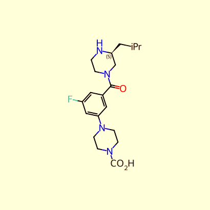 CC(C)C[C@H]1CN(C(=O)c2cc(F)cc(N3CCN(C(=O)O)CC3)c2)CCN1